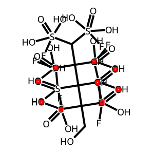 O=S(O)(O)(F)C(C(C(C(CO)(S(=O)(O)(O)F)S(=O)(O)(O)F)(S(=O)(O)(O)F)S(=O)(O)(O)F)(S(=O)(O)(O)F)S(=O)(O)(O)F)S(=O)(O)(O)F